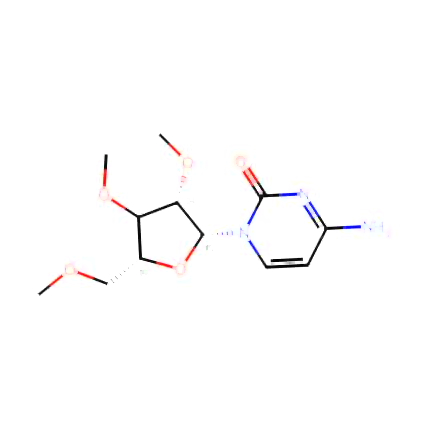 COC[C@H]1O[C@@H](n2ccc(N)nc2=O)[C@@H](OC)C1OC